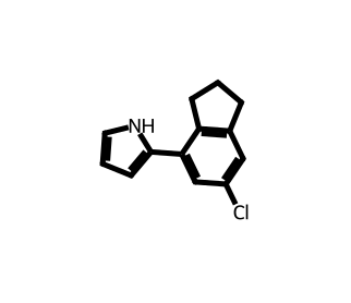 Clc1cc2c(c(-c3ccc[nH]3)c1)CCC2